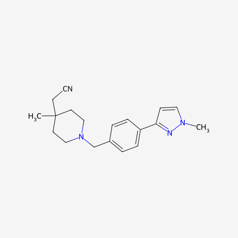 Cn1ccc(-c2ccc(CN3CCC(C)(CC#N)CC3)cc2)n1